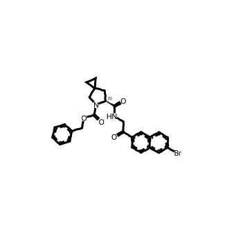 O=C(CNC(=O)[C@@H]1CC2(CC2)CN1C(=O)OCc1ccccc1)c1ccc2cc(Br)ccc2c1